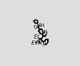 CCc1c(-c2ccnc3cc(C(=O)NC4CCCC4)ccc23)c(-c2ccccn2)nn1CC